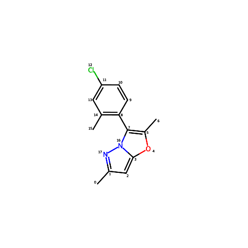 Cc1cc2oc(C)c(-c3ccc(Cl)cc3C)n2n1